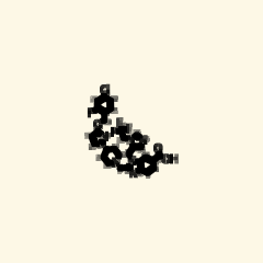 O=C(O)c1ccc2nc(CN3CCC(n4ccc(OCc5ccc(Cl)cc5F)n4)CC3)n(Cc3cncn3CC(F)(F)F)c2c1